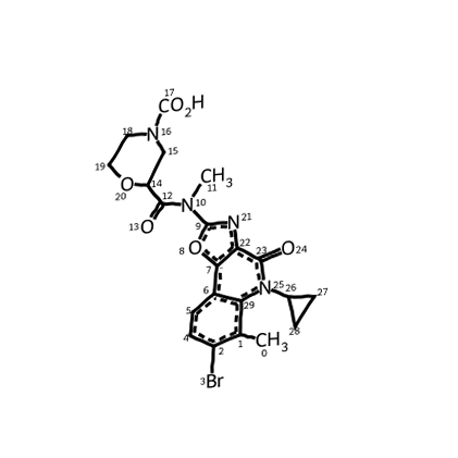 Cc1c(Br)ccc2c3oc(N(C)C(=O)C4CN(C(=O)O)CCO4)nc3c(=O)n(C3CC3)c12